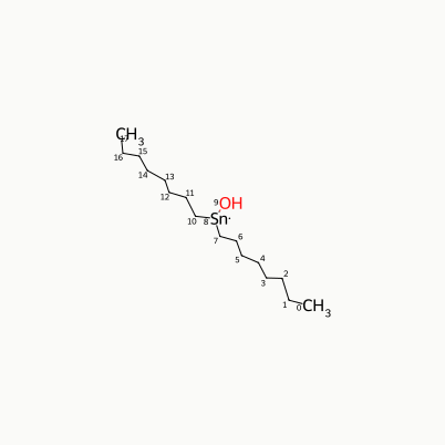 CCCCCCC[CH2][Sn]([OH])[CH2]CCCCCCC